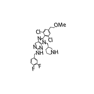 COCCc1cc(Cl)c(-c2nc3cnc(NCc4ccc(F)c(F)c4)nc3n2C[C@@H]2CCCNC2)c(Cl)c1